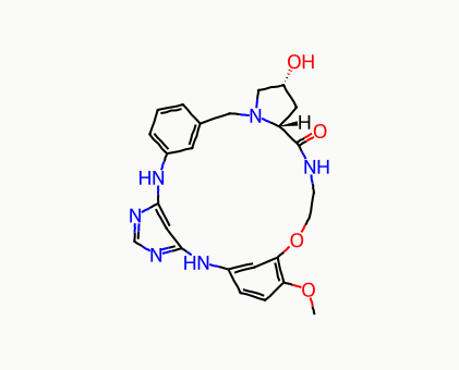 COc1ccc2cc1OCCNC(=O)[C@H]1C[C@@H](O)CN1Cc1cccc(c1)Nc1cc(ncn1)N2